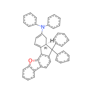 C1=C2c3c(ccc4c3oc3ccccc34)C(c3ccccc3)(c3ccccc3)[C@@H]2CC(N(c2ccccc2)c2ccccc2)=C1